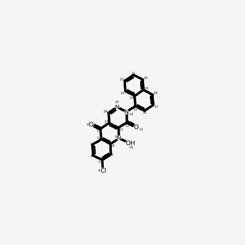 O=c1c2ccc(Cl)cc2n(O)c2c(=O)n(-c3cccc4ccccc34)ncc12